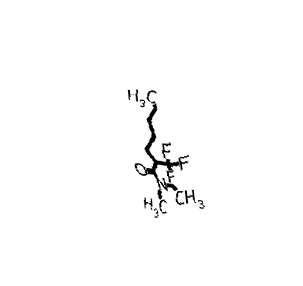 CCCCCC(C(=O)N(CC)CC)C(F)(F)F